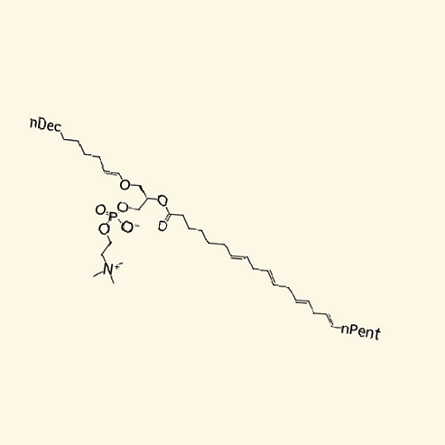 CCCCC/C=C/C/C=C/C/C=C/C/C=C/CCCCCC(=O)O[C@H](CO/C=C/CCCCCCCCCCCCCC)COP(=O)([O-])OCC[N+](C)(C)C